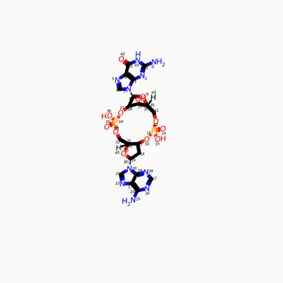 Nc1nc2c(ncn2[C@@H]2O[C@@H]3COP(=O)(O)OC4C[C@H](n5cnc6c(N)ncnc65)O[C@@H]4COP(=O)(O)OC2C3O)c(=O)[nH]1